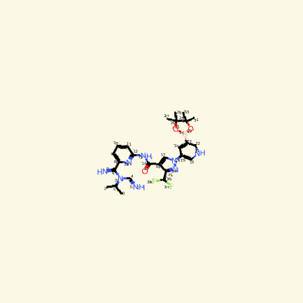 CC(C)N(C=N)C(=N)c1cccc(NC(=O)c2cn(C3=CNCC(B4OC(C)(C)C(C)(C)O4)=C3)nc2C(F)F)n1